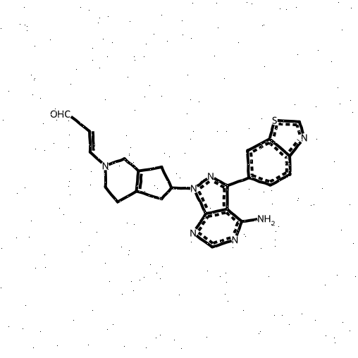 Nc1ncnc2c1c(-c1ccc3ncsc3c1)nn2C1CC2=C(C1)CN(C=CC=O)CC2